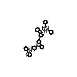 c1ccc(-c2nc(-c3ccccc3)nc(-n3c4ccccc4c4cc(-c5ccc6c(c5)c5ccccc5n6-c5ccc(-n6c7ccccc7c7ncccc76)cc5)ccc43)n2)cc1